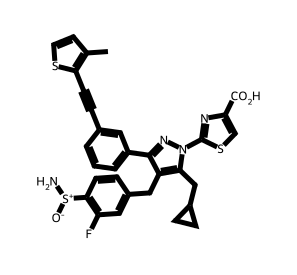 Cc1ccsc1C#Cc1cccc(-c2nn(-c3nc(C(=O)O)cs3)c(CC3CC3)c2Cc2ccc([S+](N)[O-])c(F)c2)c1